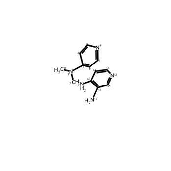 CN(C)c1ccncc1.Nc1ccncc1N